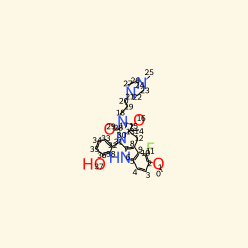 COc1ccc2[nH]c3c(c2c1F)CC1(C)C(=O)N(CCCN2CCN(C)CC2)C(=O)N1C3c1cccc(O)c1